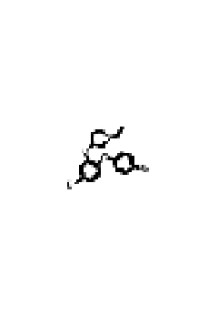 CCN1CCC(Oc2cc(Br)ccc2Oc2ccc(Br)cc2)C1